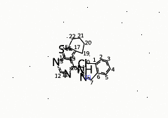 Clc1ccccc1/C=N\Nc1ncnc2sc3c(c12)CCCC3